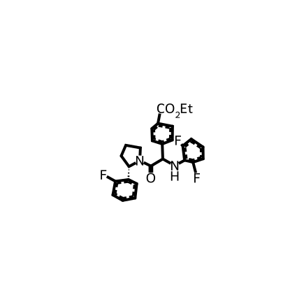 CCOC(=O)c1ccc(C(Nc2c(F)cccc2F)C(=O)N2CCC[C@H]2c2ccccc2F)cc1